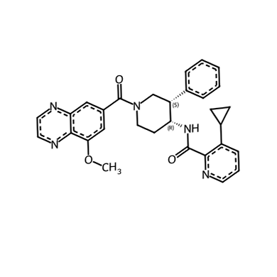 COc1cc(C(=O)N2CC[C@@H](NC(=O)c3ncccc3C3CC3)[C@@H](c3ccccc3)C2)cc2nccnc12